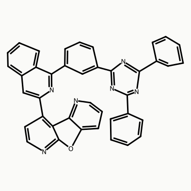 c1ccc(-c2nc(-c3ccccc3)nc(-c3cccc(-c4nc(-c5ccnc6oc7cccnc7c56)cc5ccccc45)c3)n2)cc1